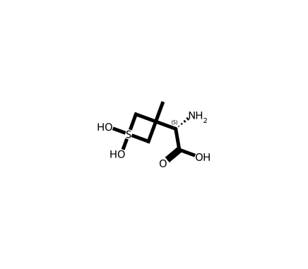 CC1([C@H](N)C(=O)O)CS(O)(O)C1